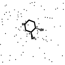 N[C@H]1CNCC[C@@H]1O